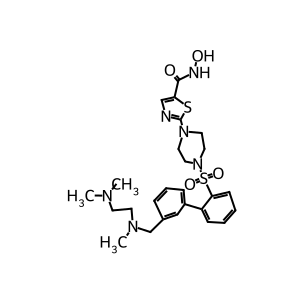 CN(C)CCN(C)Cc1cccc(-c2ccccc2S(=O)(=O)N2CCN(c3ncc(C(=O)NO)s3)CC2)c1